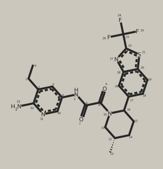 CCc1cc(NC(=O)C(=O)N2C[C@@H](C)CCC2c2ccc3sc(C(F)(F)F)nc3c2)cnc1N